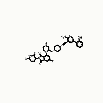 Nc1nnc(-c2ccccc2O)cc1C#C[C@H]1CC[C@@H](CC2CNCCN2c2cc(F)cc3c2C(=O)N(C2CCC(=O)NC2=O)C3=O)CC1